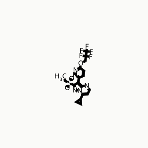 CCS(=O)(=O)c1nn2c(C3CC3)ccnc2c1-c1ccc(OCC(F)(F)C(F)(F)F)nn1